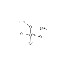 BO[Cl+3]([O-])([O-])[O-].N